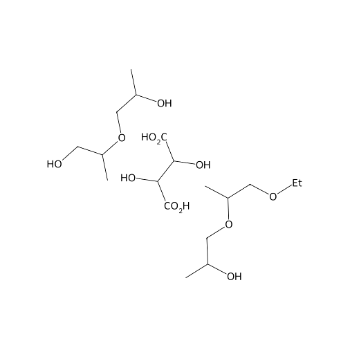 CC(O)COC(C)CO.CCOCC(C)OCC(C)O.O=C(O)C(O)C(O)C(=O)O